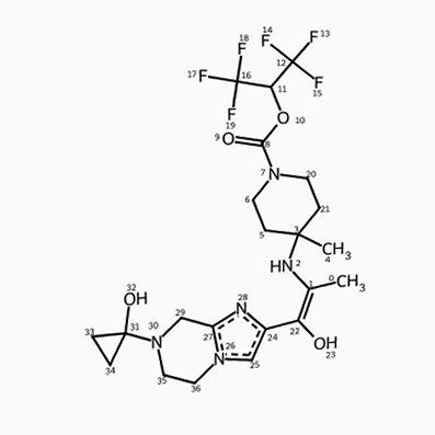 C/C(NC1(C)CCN(C(=O)OC(C(F)(F)F)C(F)(F)F)CC1)=C(\O)c1cn2c(n1)CN(C1(O)CC1)CC2